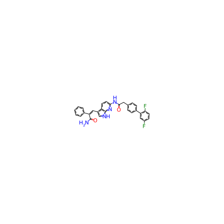 NC(=O)C(=Cc1c[nH]c2nc(NC(=O)Cc3ccc(-c4cc(F)ccc4F)cc3)ccc12)c1ccccc1